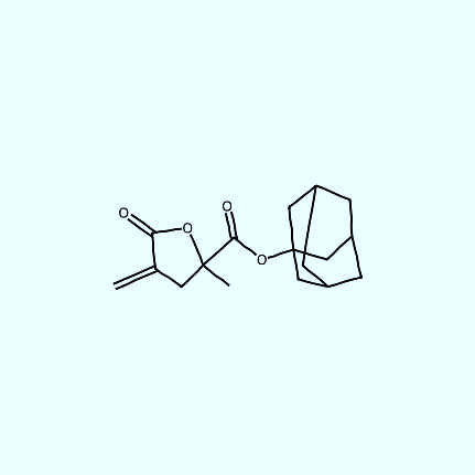 C=C1CC(C)(C(=O)OC23CC4CC(CC(C4)C2)C3)OC1=O